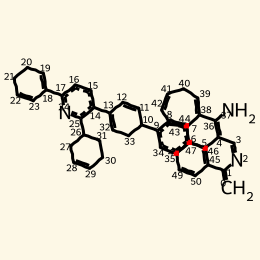 C=C(/N=C\C(Cc1ccc(C2C=CC(c3ccc(C4=CCCC=C4)nc3C3CC=CCC3)=CC2)cc1)=C(/N)C1=CCC=CC=C1)C1=CCCC=C1